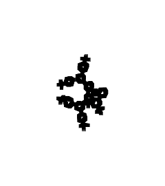 CC(C)(C)c1ccc(-c2cc(-c3ccc(C(C)(C)C)cc3)cc(-c3ccc4c(c3)c3cc(-c5cc(-c6ccc(C(C)(C)C)cc6)cc(-c6ccc(C(C)(C)C)cc6)c5)ccc3n4-c3ccccc3-c3cc(C(C)(C)C)cc(C(C)(C)C)c3)c2)cc1